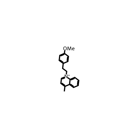 COc1ccc(CC[n+]2ccc(C)c3ccccc32)cc1